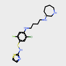 Fc1cc(NCCCCN[C@H]2CCCCNC2)c(Cl)cc1SNc1nccs1